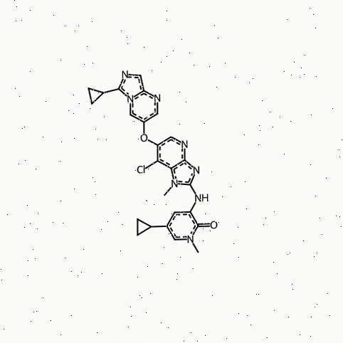 Cn1cc(C2CC2)cc(Nc2nc3ncc(Oc4cnc5cnc(C6CC6)n5c4)c(Cl)c3n2C)c1=O